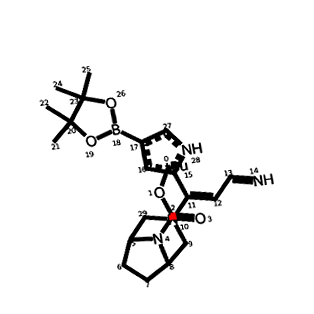 CC(C)(C)OC(=O)N1C2CCC1CN(/C(=C/C=N)c1cc(B3OC(C)(C)C(C)(C)O3)c[nH]1)C2